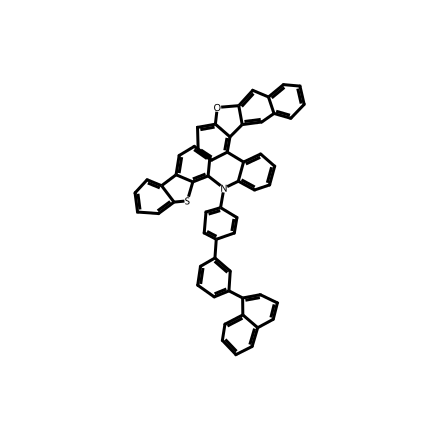 c1cc(-c2ccc(N(c3ccccc3-c3cccc4oc5cc6ccccc6cc5c34)c3cccc4c3sc3ccccc34)cc2)cc(-c2cccc3ccccc23)c1